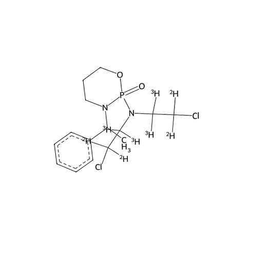 [2H]C([2H])(Cl)C([3H])([3H])N(C([3H])([3H])C([2H])([2H])Cl)P1(=O)OCCCN1C(C)c1ccccc1